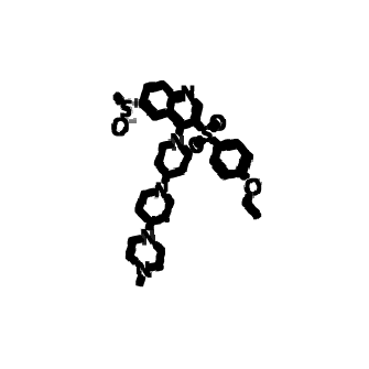 CCOc1ccc(S(=O)(=O)c2cnc3ccc([S+](C)[O-])cc3c2N2CCC(N3CCC(N4CCN(C)CC4)CC3)CC2)cc1